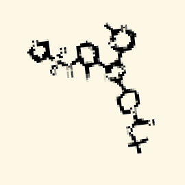 Cc1nccc(-c2sc(C3CCN(C(=O)OC(C)(C)C)CC3)nc2-c2cccc(NS(=O)(=O)c3ccoc3)c2F)n1